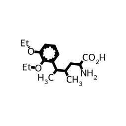 CCOc1cccc(C(C)C(C)CC(N)C(=O)O)c1OCC